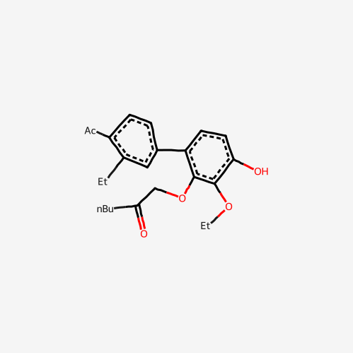 CCCCC(=O)COc1c(-c2ccc(C(C)=O)c(CC)c2)ccc(O)c1OCC